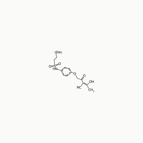 CCCCCCCCCCCCS(=O)(=O)Nc1ccc(OCC(=O)/C(C#N)=C(/C)O)cc1